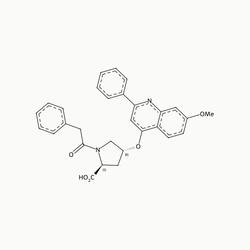 COc1ccc2c(O[C@@H]3C[C@@H](C(=O)O)N(C(=O)Cc4ccccc4)C3)cc(-c3ccccc3)nc2c1